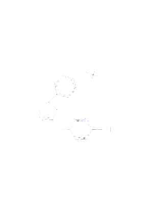 Cc1ccc(OC2=NO[C@@](C)(c3ccc(OC(F)(F)F)cc3)C2)cn1